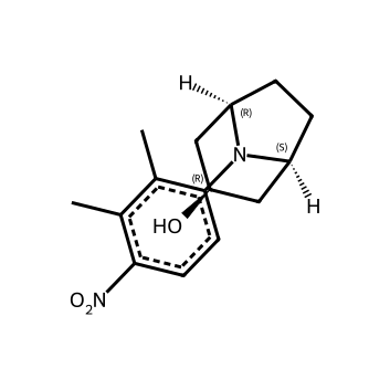 Cc1c(N2[C@@H]3CC[C@H]2C[C@@H](O)C3)ccc([N+](=O)[O-])c1C